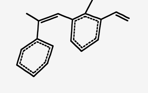 C=Cc1cccc(C=C(C)c2ccccc2)c1C